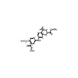 CCOC(=O)c1cnc(Nc2ccc3c(c2)CN(C(=O)OC(C)(C)C)CC32CC2)nc1C(=O)COC(C)=O